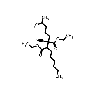 CCCCCCC(C(=O)OCC)C(C#N)(CCCC(C)C)C(=O)OCC